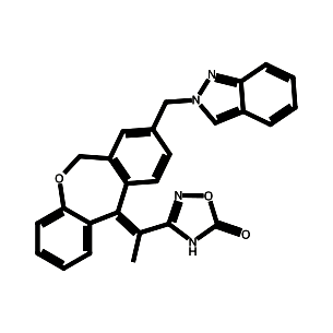 CC(=C1c2ccc(Cn3cc4ccccc4n3)cc2COc2ccccc21)c1noc(=O)[nH]1